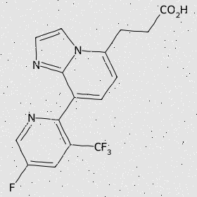 O=C(O)CCc1ccc(-c2ncc(F)cc2C(F)(F)F)c2nccn12